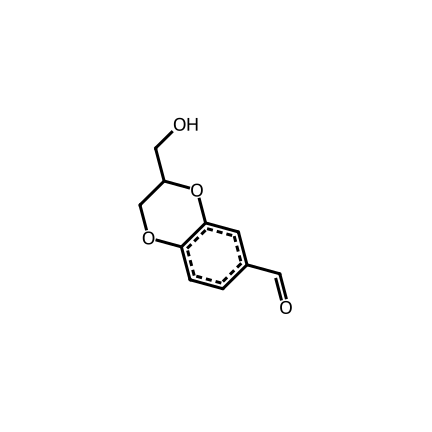 O=Cc1ccc2c(c1)OC(CO)CO2